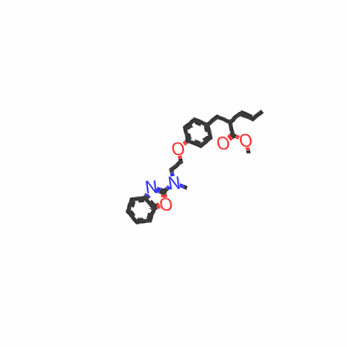 CC=CC(Cc1ccc(OCCN(C)c2nc3ccccc3o2)cc1)C(=O)OC